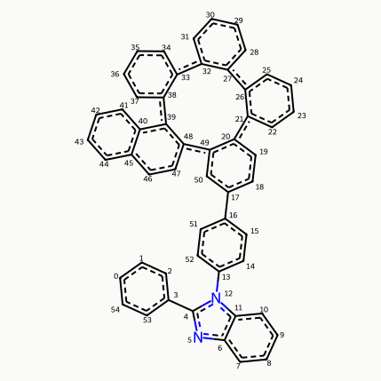 c1ccc(-c2nc3ccccc3n2-c2ccc(-c3ccc4c5ccccc5c5ccccc5c5ccccc5c5c6ccccc6ccc5c4c3)cc2)cc1